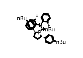 CCCCc1ccc([C@@H]2CC[C@@H](c3ccc(CCCC)cc3)P2N(CCCC)P(c2ccccc2F)c2ccccc2F)cc1